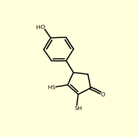 O=C1CC(c2ccc(O)cc2)C(S)=C1S